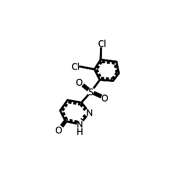 O=c1ccc(S(=O)(=O)c2cccc(Cl)c2Cl)n[nH]1